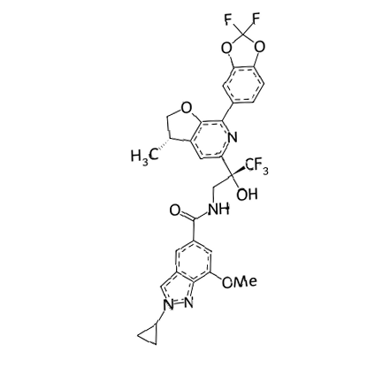 COc1cc(C(=O)NC[C@@](O)(c2cc3c(c(-c4ccc5c(c4)OC(F)(F)O5)n2)OC[C@H]3C)C(F)(F)F)cc2cn(C3CC3)nc12